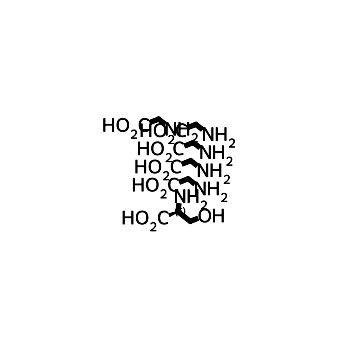 NCC(=O)O.NCC(=O)O.NCC(=O)O.NCC(=O)O.NCC(=O)O.N[C@@H](CO)C(=O)O